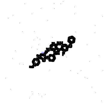 CCN1CCN(C(C)(C)/C=C(/C#N)C(=O)N2CCC[C@H](n3nc(-c4ccc(Oc5ccccc5)cc4F)c4c(N)ncnc43)C2)CC1